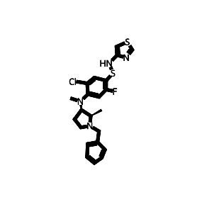 C[C@@H]1[C@H](N(C)c2cc(F)c(SNc3cscn3)cc2Cl)CCN1Cc1ccccc1